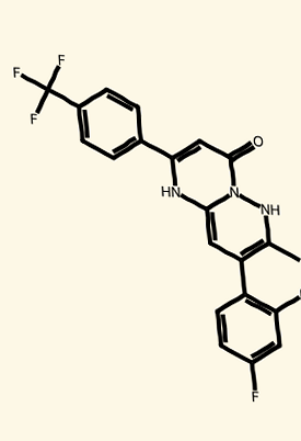 CC1=C(c2ccc(F)cc2F)C=C2NC(c3ccc(C(F)(F)F)cc3)=CC(=O)N2N1